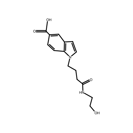 O=C(CCCn1ccc2cc(C(=O)O)ccc21)NCCO